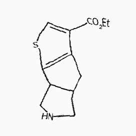 CCOC(=O)c1csc2c1CC1CNCC21